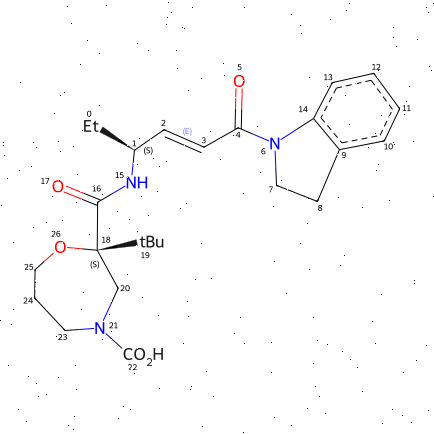 CC[C@@H](/C=C/C(=O)N1CCc2ccccc21)NC(=O)[C@]1(C(C)(C)C)CN(C(=O)O)CCCO1